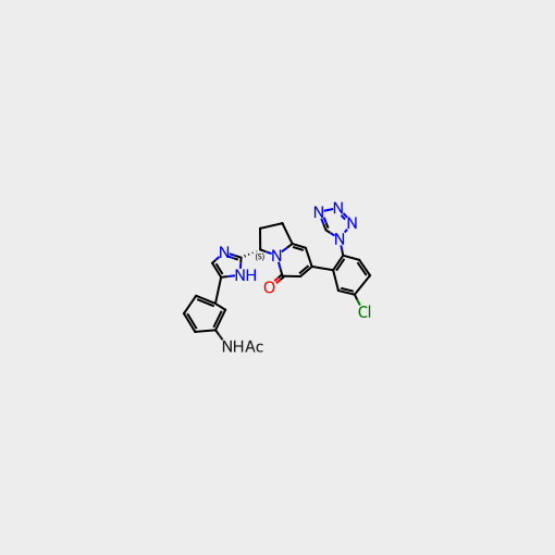 CC(=O)Nc1cccc(-c2cnc([C@@H]3CCc4cc(-c5cc(Cl)ccc5-n5cnnn5)cc(=O)n43)[nH]2)c1